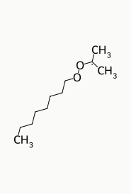 CCCCCCCCOO[C](C)C